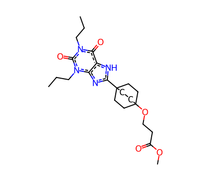 CCCn1c(=O)c2[nH]c(C34CCC(OCCC(=O)OC)(CC3)CC4)nc2n(CCC)c1=O